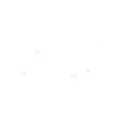 Cc1cc(-c2c[nH]cn2)[nH]n1